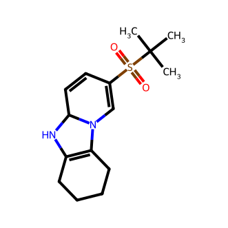 CC(C)(C)S(=O)(=O)C1=CN2C3=C(CCCC3)NC2C=C1